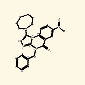 O=c1c2cc([N+](=O)[O-])ccc2n2c(N3CCCCCC3)nnc2n1Cc1ccccc1